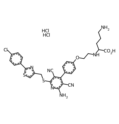 Cl.Cl.N#Cc1c(N)nc(SCc2csc(-c3ccc(Cl)cc3)n2)c(C#N)c1-c1ccc(OCCNC(CCCN)C(=O)O)cc1